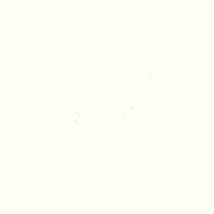 C[C@H]1C2=CNN(c3ccc(F)cc3)C2=CC2=C1[C@@H](CN(CCc1ccccc1O)S(=O)(=O)Cc1cccc(C(F)(F)F)c1)CC2